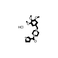 COc1cc(CN2CCN(C(=O)c3ccsc3)CC2)cc(OC)c1OC.Cl